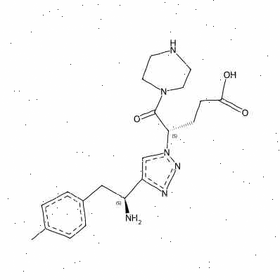 Cc1ccc(C[C@H](N)c2cn([C@@H](CCC(=O)O)C(=O)N3CCNCC3)nn2)cc1